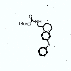 CC(C)(C)OC(=O)NCC1CCCc2cc(Sc3ccccc3)ccc21